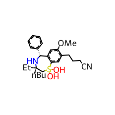 CCCC[C@]1(CC)CS(O)(O)c2cc(CCCC#N)c(OC)cc2[C@@H](c2ccccc2)N1